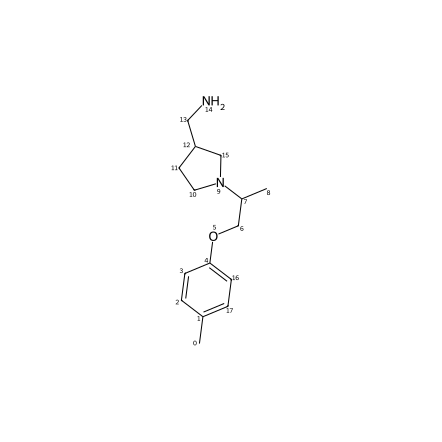 Cc1ccc(OCC(C)N2CCC(CN)C2)cc1